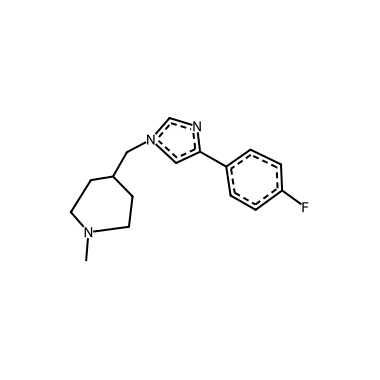 CN1CCC(Cn2cnc(-c3ccc(F)cc3)c2)CC1